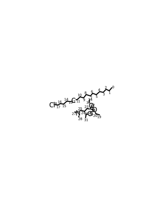 CCCCCCCCCCCCCCCCCCCl.CCO[Si](CCCN(C)C)(OCC)OCC